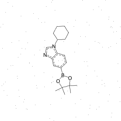 CC1(C)OB(c2ccc3c(c2)ncn3C2CCCCC2)OC1(C)C